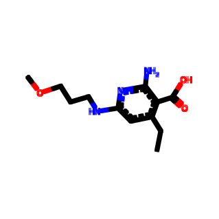 CCc1cc(NCCCOC)nc(N)c1C(=O)O